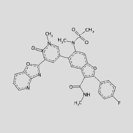 CNC(=O)c1c(-c2ccc(F)cc2)oc2cc(N(C)S(C)(=O)=O)c(-c3cc(-c4nc5ncccc5o4)c(=O)n(C)c3)cc12